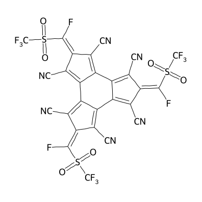 N#CC1=c2c3c(c4c(c2=C(C#N)C1=C(F)S(=O)(=O)C(F)(F)F)=C(C#N)C(=C(F)S(=O)(=O)C(F)(F)F)C=4C#N)=C(C#N)C(=C(F)S(=O)(=O)C(F)(F)F)C=3C#N